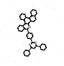 c1ccc(-c2cc(-c3ccccc3)nc(-c3ccc(-c4nc5c6ccc7ccccc7c6c6ccccc6c5c5ccccc45)cc3)n2)cc1